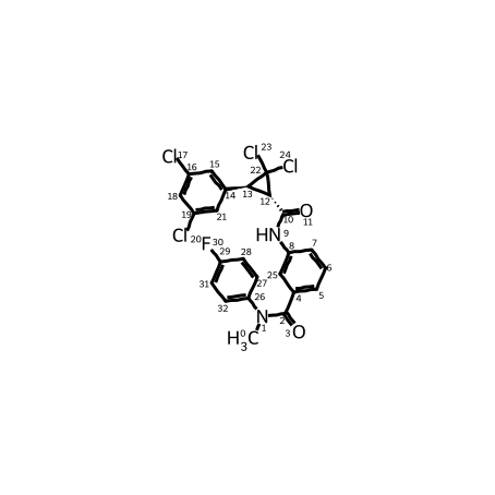 CN(C(=O)c1cccc(NC(=O)[C@@H]2[C@@H](c3cc(Cl)cc(Cl)c3)C2(Cl)Cl)c1)c1ccc(F)cc1